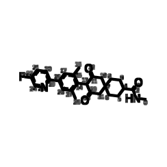 CNC(=O)C1CCC2(CC1)CC(=O)C(c1c(C)cc(-c3ccc(F)cn3)cc1C)C(=O)C2